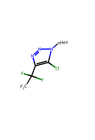 CCCCCCn1nnc(C(F)(F)C(F)(F)F)c1Cl